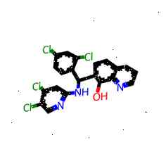 Oc1c(C(Nc2cc(Cl)c(Cl)cn2)c2ccc(Cl)cc2Cl)ccc2cccnc12